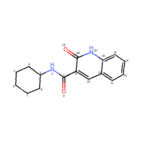 O=C(NC1CCCCC1)c1cc2ccccc2[nH]c1=O